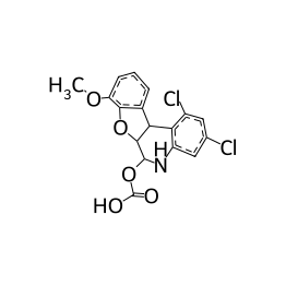 COc1cccc2c1OC1C(OC(=O)O)Nc3cc(Cl)cc(Cl)c3C21